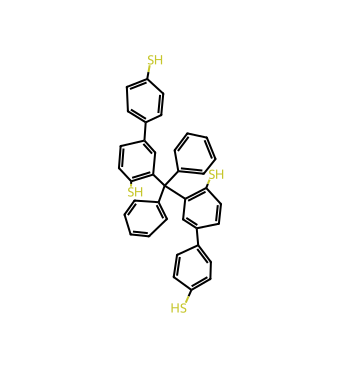 Sc1ccc(-c2ccc(S)c(C(c3ccccc3)(c3ccccc3)c3cc(-c4ccc(S)cc4)ccc3S)c2)cc1